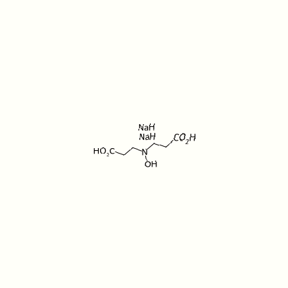 O=C(O)CCN(O)CCC(=O)O.[NaH].[NaH]